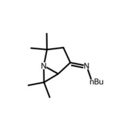 CCCCN=C1CC(C)(C)N2C1C2(C)C